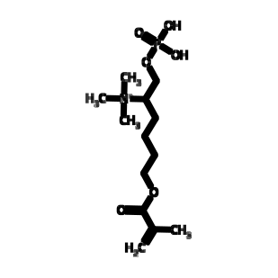 C=C(C)C(=O)OCCCCC(COP(=O)(O)O)[N+](C)(C)C